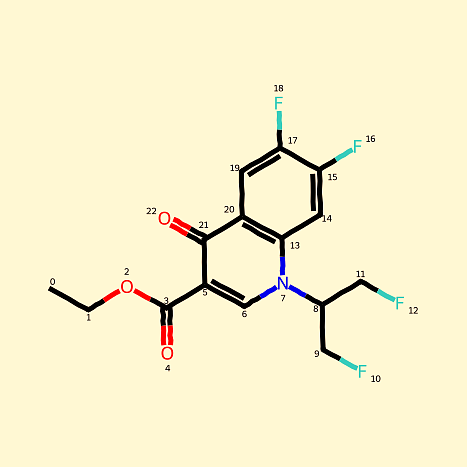 CCOC(=O)c1cn(C(CF)CF)c2cc(F)c(F)cc2c1=O